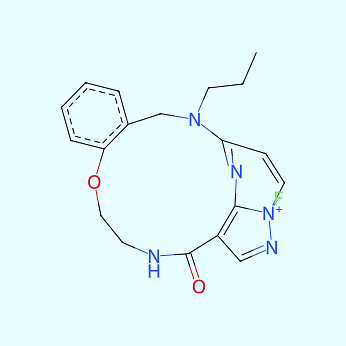 CCCN1Cc2ccccc2OCCNC(=O)C2=C3N=C1C=C[N+]3(F)N=C2